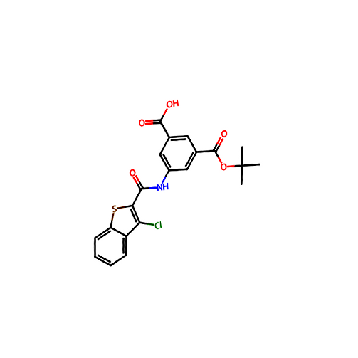 CC(C)(C)OC(=O)c1cc(NC(=O)c2sc3ccccc3c2Cl)cc(C(=O)O)c1